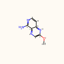 CCOc1cnc2c(N)nccc2n1